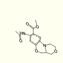 COC(=O)c1cc2c(cc1NC(C)=O)OCC1COCCN21